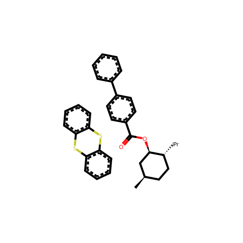 CC(C)[C@@H]1CC[C@@H](C)C[C@H]1OC(=O)c1ccc(-c2ccccc2)cc1.c1ccc2c(c1)Sc1ccccc1S2